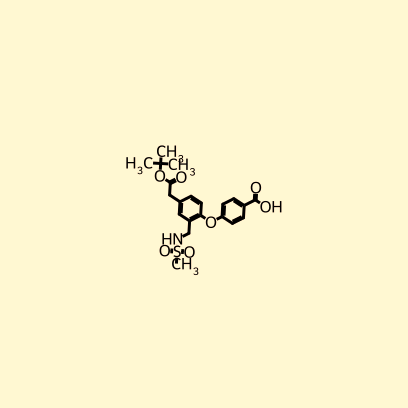 CC(C)(C)OC(=O)Cc1ccc(Oc2ccc(C(=O)O)cc2)c(CNS(C)(=O)=O)c1